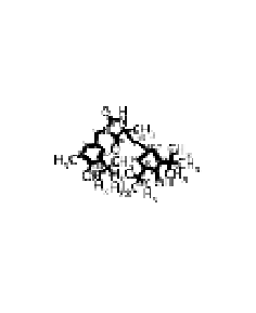 Cc1cc(CN2C(=O)NC(C)(CCc3cc(C(C)(C)C)c(O)c(C(C)(C)C)c3)C2=O)cc(C(C)(C)C)c1O